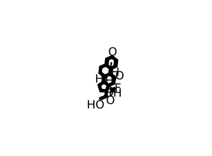 C[C@]12C=CC(=O)C=C1CC[C@@H]1[C@@H]2C(=O)C[C@@]2(C(F)F)[C@H]1CC[C@]2(O)C(=O)CO